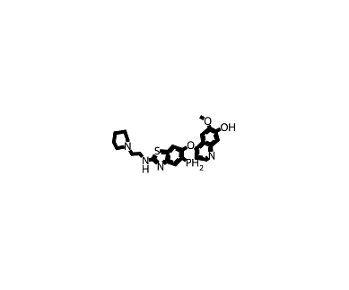 COc1cc2c(Oc3cc4sc(NCCN5CCCCC5)nc4cc3P)ccnc2cc1O